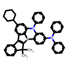 CC1(C)C2=C(c3ccccc31)c1cc(C3CCCCC3)cc3c1B2c1ccc(N(c2ccccc2)c2ccccc2)cc1N3c1ccccc1